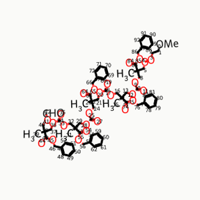 COCCOOCC(C)(COC(=O)OCC(C)(COC(=O)OCC(C)(COC(=O)OCC(C)(COC(=O)OCC(C)(COC=O)C(=O)OCc1ccccc1)C(=O)OCc1ccccc1)C(=O)OCc1ccccc1)C(=O)OCc1ccccc1)C(=O)OCc1ccccc1